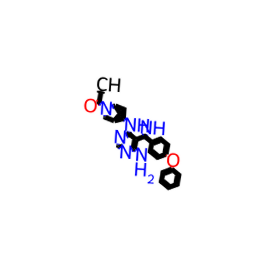 C#CC(=O)N1CC2CC1CC2Nc1ncnc(N)c1C(=N)c1ccc(Oc2ccccc2)cc1